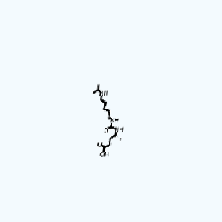 CC(C)NCCCCCNC(=O)N[C@H](C)CCC(=O)O